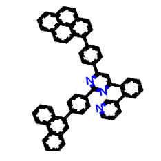 c1cncc(-c2ccccc2-c2cc(-c3ccc(-c4ccc5ccc6cccc7ccc4c5c67)cc3)nc(-c3ccc(-c4cc5ccccc5c5ccccc45)cc3)n2)c1